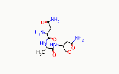 C[C@H](NC(=O)[C@@H](N)CC(N)=O)C(=O)N[C@H]([C]=O)CC(N)=O